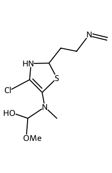 C=NCCC1NC(Cl)=C(N(C)C(O)OC)S1